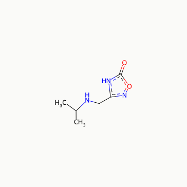 CC(C)NCc1noc(=O)[nH]1